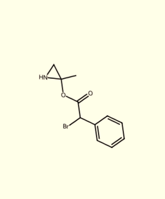 CC1(OC(=O)C(Br)c2ccccc2)CN1